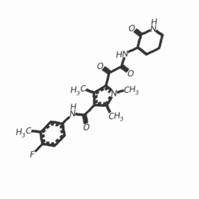 Cc1cc(NC(=O)c2c(C)c(C(=O)C(=O)NC3CCCNC3=O)n(C)c2C)ccc1F